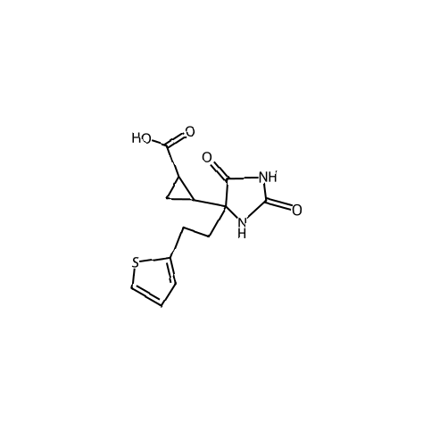 O=C1NC(=O)C(CCc2cccs2)(C2CC2C(=O)O)N1